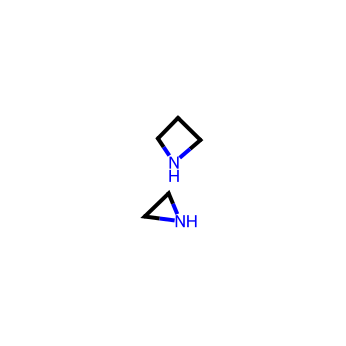 C1CN1.C1CNC1